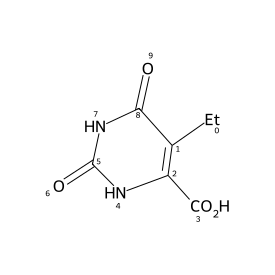 CCc1c(C(=O)O)[nH]c(=O)[nH]c1=O